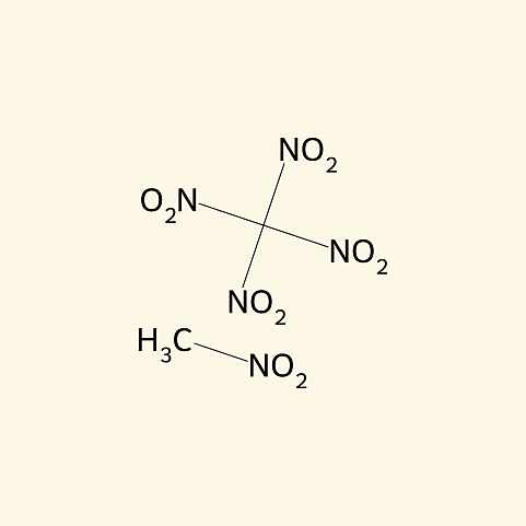 C[N+](=O)[O-].O=[N+]([O-])C([N+](=O)[O-])([N+](=O)[O-])[N+](=O)[O-]